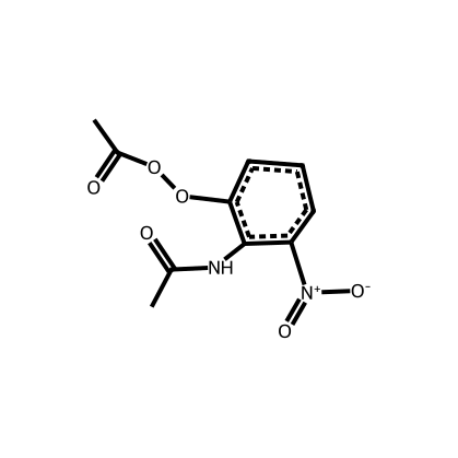 CC(=O)Nc1c(OOC(C)=O)cccc1[N+](=O)[O-]